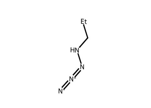 CCCNN=[N+]=[N-]